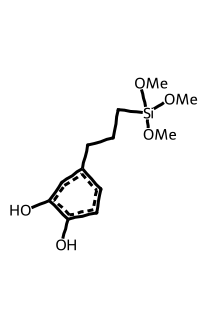 CO[Si](CCCc1ccc(O)c(O)c1)(OC)OC